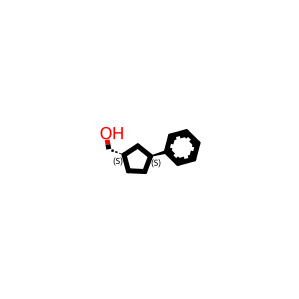 OC[C@H]1CC[C@H](c2ccccc2)C1